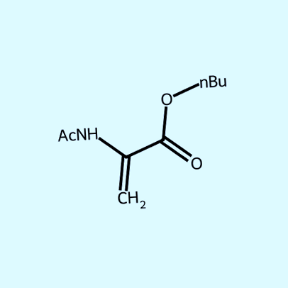 C=C(NC(C)=O)C(=O)OCCCC